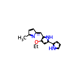 CCOc1cc(-c2ccc[nH]2)[nH]c1/C=C1/C=CC(C)=N1